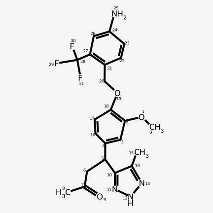 COc1cc(C(CC(C)=O)c2n[nH]nc2C)ccc1OCc1ccc(N)cc1C(F)(F)F